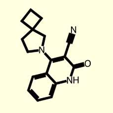 N#Cc1c(N2CCC3(CCC3)C2)c2ccccc2[nH]c1=O